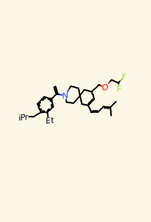 C=C(c1ccc(CC(C)C)c(CC)c1)N1CCC2(CC1)CC(/C=C\C=C(C)C)=CC(COCC(F)F)C2